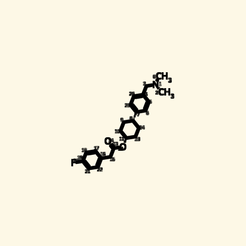 CN(C)Cc1ccc([C@H]2CC[C@@H](OC(=O)Cc3ccc(F)cc3)CC2)cc1